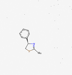 CC(C)(C)C1=N[C@H](c2ccccc2)CS1